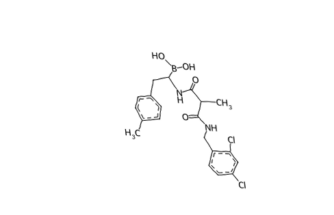 Cc1ccc(CC(NC(=O)C(C)C(=O)NCc2ccc(Cl)cc2Cl)B(O)O)cc1